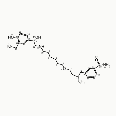 CN(CCOCCCCCCNCC(O)c1ccc(O)c(CO)c1)Cc1cccc(C(N)=O)c1